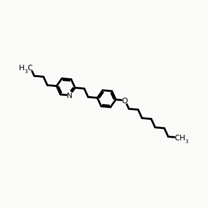 CCCCCCCCOc1ccc(CCc2ccc(CCCC)cn2)cc1